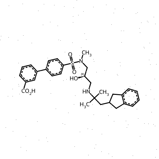 CN(C[C@H](O)CNC(C)(C)CC1Cc2ccccc2C1)S(=O)(=O)c1ccc(-c2cccc(C(=O)O)c2)cc1